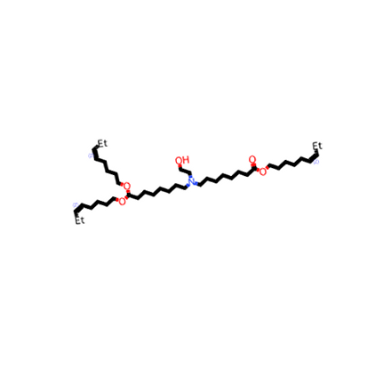 CC/C=C\CCCCCOC(=O)CCCCCCCN(CCO)CCCCCCCC(OCCCC/C=C\CC)OCCCC/C=C\CC